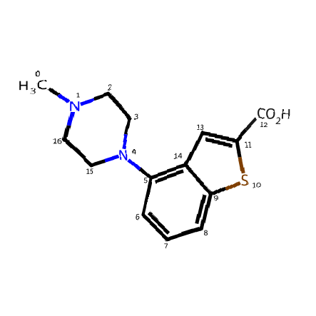 CN1CCN(c2cccc3sc(C(=O)O)cc23)CC1